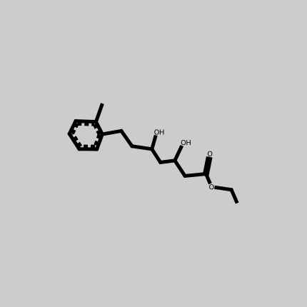 CCOC(=O)CC(O)CC(O)CCc1ccccc1C